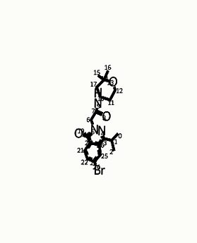 CC(C)c1nn(CC(=O)NC2CCOC(C)(C)C2)c(=O)c2ccc(Br)cc12